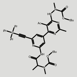 CC(=O)c1c(NN(C)C(=O)OC(C)(C)C)nc(C)nc1-c1cc(C#C[Si](C(C)C)(C(C)C)C(C)C)nc(NC(=O)C(C)N(C)C(=O)OC(C)(C)C)c1